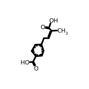 CC(=CCc1ccc(C(=O)O)cc1)C(=O)O